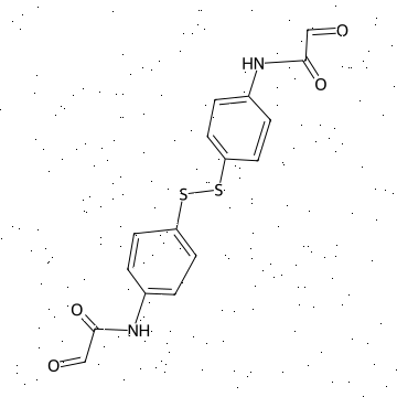 O=CC(=O)Nc1ccc(SSc2ccc(NC(=O)C=O)cc2)cc1